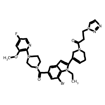 CCn1c(C2=CCCN(C(=O)CCn3ccnn3)C2)cc2cc(C(=O)N3CCN(c4ncc(F)cc4OC)CC3)cc(Br)c21